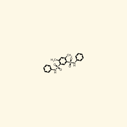 Cc1cc(C)c(S(=O)(=O)Nc2ccccc2)cc1S(=O)(=O)Nc1ccccc1